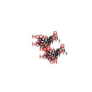 C[C@H]1O[C@@H](O[C@H]2[C@@H](O)C[C@H](O[C@H]3[C@@H](O)C[C@H](O[C@H]4CC[C@@]5(C)[C@H](CC[C@@H]6[C@@H]5CC[C@]5(C)[C@@H](C7=CC(=O)OC7)CC[C@]65O)C4)O[C@@H]3C)O[C@@H]2C)C[C@H](O)[C@@H]1O.C[C@H]1O[C@@H](O[C@H]2[C@@H](O)C[C@H](O[C@H]3[C@@H](O)C[C@H](O[C@H]4CC[C@@]5(C)[C@H](CC[C@@H]6[C@@H]5CC[C@]5(C)[C@@H](C7=CC(=O)OC7)CC[C@]65O)C4)O[C@@H]3C)O[C@@H]2C)C[C@H](O)[C@@H]1O